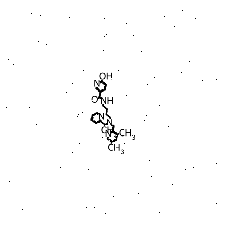 Cc1cnc(CN(CCCCNC(=O)c2ccc(O)nc2)[C@@H](C)c2ccccn2)c(C)c1